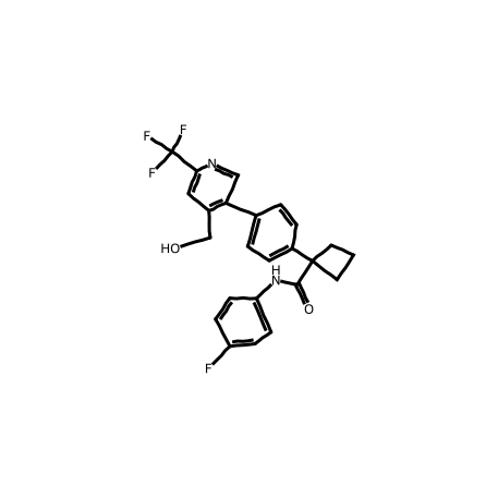 O=C(Nc1ccc(F)cc1)C1(c2ccc(-c3cnc(C(F)(F)F)cc3CO)cc2)CCC1